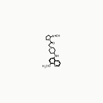 C#[N+]C1CCCN1C(=O)CN1CCC(Nc2ccc(OC)c3ncccc23)CC1